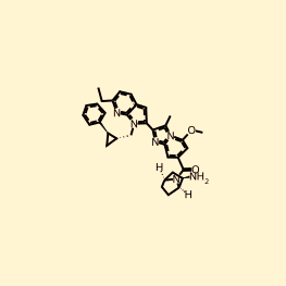 CCc1ccc2cc(-c3nc4cc(C(=O)N5[C@H]6CC[C@@H]5[C@H](N)C6)cc(OC)n4c3C)n(C[C@@H]3C[C@H]3c3ccccc3)c2n1